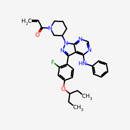 C=CC(=O)N1CCCC(n2nc(-c3ccc(OC(CC)CC)cc3F)c3c(Nc4ccccc4)ncnc32)C1